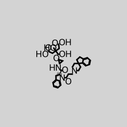 O=C(NC1CC1)[C@@H]1Cc2ccccc2N1C(=O)CCN1CCC2(CCc3ccccc32)CC1.O=C(O)CC(O)(CC(=O)O)C(=O)O